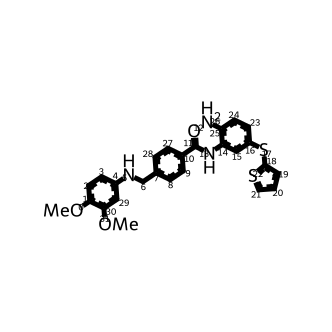 COc1ccc(NCc2ccc(C(=O)Nc3cc(Sc4cccs4)ccc3N)cc2)cc1OC